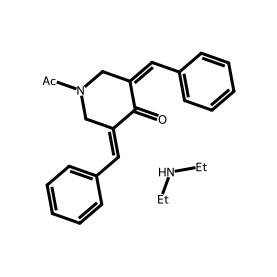 CC(=O)N1CC(=Cc2ccccc2)C(=O)C(=Cc2ccccc2)C1.CCNCC